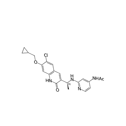 CC(=O)Nc1ccnc(N[C@@H](C)c2cc3cc(Cl)c(OCC4CC4)cc3[nH]c2=O)c1